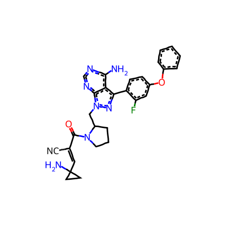 N#CC(=CC1(N)CC1)C(=O)N1CCCC1Cn1nc(-c2ccc(Oc3ccccc3)cc2F)c2c(N)ncnc21